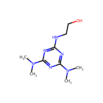 CN(C)c1nc(NCCO)nc(N(C)C)n1